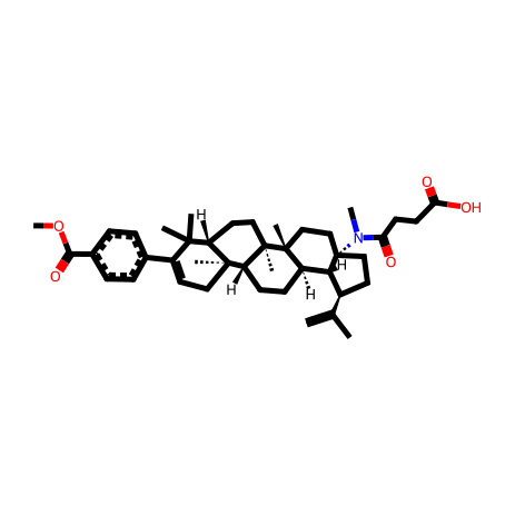 C=C(C)[C@@H]1CC[C@]2(N(C)C(=O)CCC(=O)O)CC[C@]3(C)[C@H](CC[C@@H]4[C@@]5(C)CC=C(c6ccc(C(=O)OC)cc6)C(C)(C)[C@@H]5CC[C@]43C)[C@@H]12